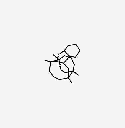 CC12CCCC(C)(CCC1)C1(C)CCCC2(C)CC2C3CCCCC3SC21